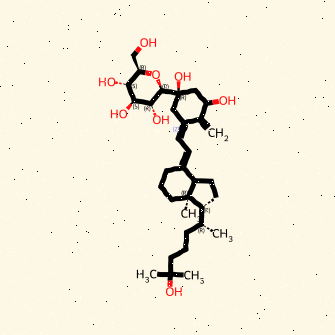 C=C1/C(=C\C=C2CCC[C@@]3(C)C2CC[C@@H]3[C@H](C)CCCC(C)(C)O)C[C@](O)([C@@H]2O[C@H](CO)[C@@H](O)[C@H](O)[C@H]2O)CC1O